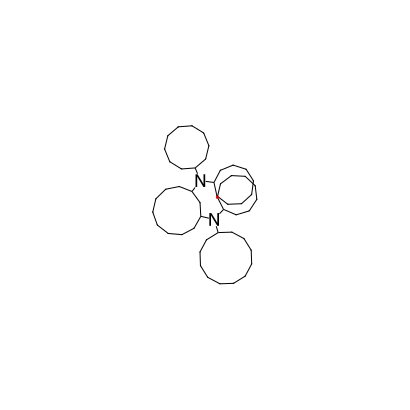 C1CCCCCC(N(C2CCCCCCCC2)C2CCCCCCCCC(N(C3CCCCCCCCC3)C3CCCCCCCC3)C2)CCCCC1